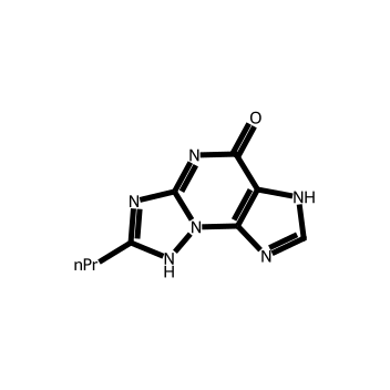 CCCc1nc2nc(=O)c3[nH]cnc3n2[nH]1